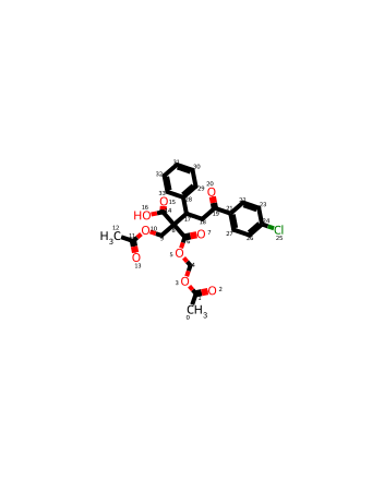 CC(=O)OCOC(=O)C(COC(C)=O)(C(=O)O)C(CC(=O)c1ccc(Cl)cc1)c1ccccc1